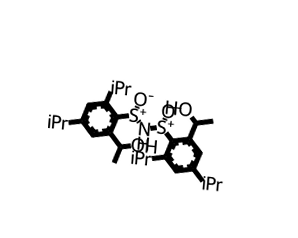 CC(C)c1cc(C(C)C)c([S+]([O-])N[S+]([O-])c2c(C(C)C)cc(C(C)C)cc2C(C)O)c(C(C)O)c1